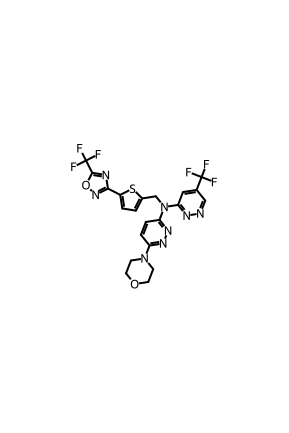 FC(F)(F)c1cnnc(N(Cc2ccc(-c3noc(C(F)(F)F)n3)s2)c2ccc(N3CCOCC3)nn2)c1